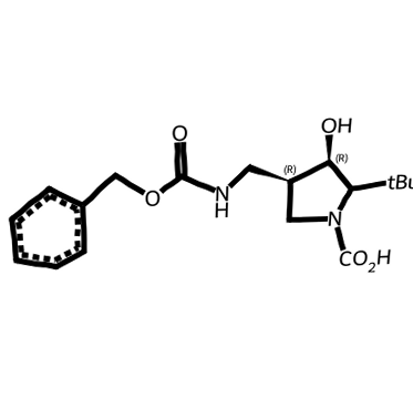 CC(C)(C)C1[C@H](O)[C@H](CNC(=O)OCc2ccccc2)CN1C(=O)O